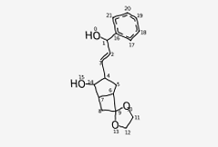 OC(C=CC1CC2C(CC23OCCO3)C1O)c1ccccc1